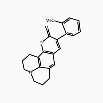 COc1ccccc1-c1cc2cc3c4c(c2oc1=O)CCCN4CCC3